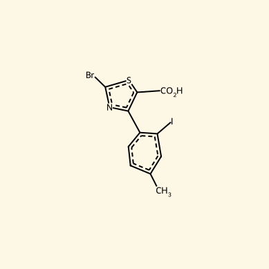 Cc1ccc(-c2nc(Br)sc2C(=O)O)c(I)c1